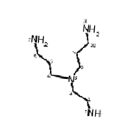 [NH]CCN(CCCN)CCCN